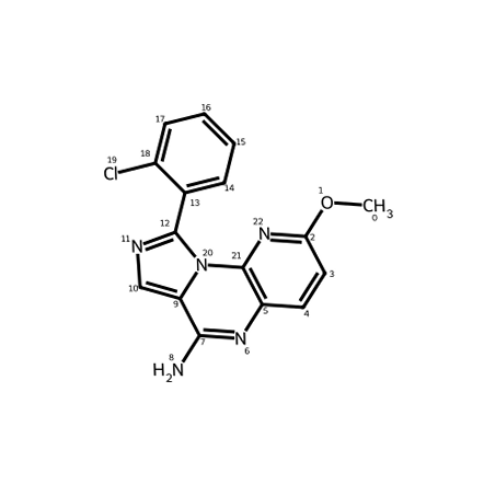 COc1ccc2nc(N)c3cnc(-c4ccccc4Cl)n3c2n1